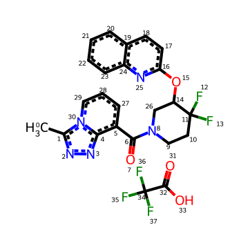 Cc1nnc2c(C(=O)N3CCC(F)(F)C(Oc4ccc5ccccc5n4)C3)cccn12.O=C(O)C(F)(F)F